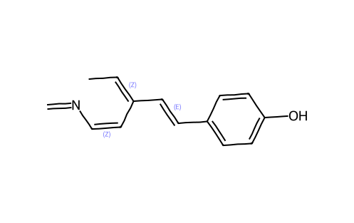 C=N\C=C/C(=C\C)/C=C/c1ccc(O)cc1